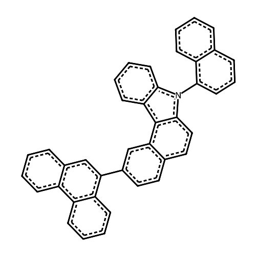 c1ccc2c(-n3c4ccccc4c4c5cc(-c6cc7ccccc7c7ccccc67)ccc5ccc43)cccc2c1